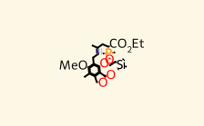 CCOC(=O)C(C/C(C)=C/Cc1c(OC)c(C)c2c(c1OCC[Si](C)(C)C)C(=O)OC2)P(C)(C)=O